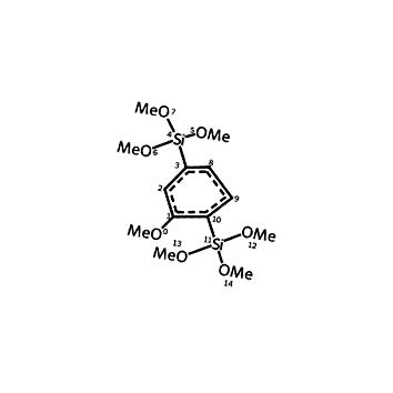 COc1cc([Si](OC)(OC)OC)ccc1[Si](OC)(OC)OC